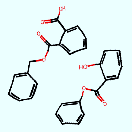 O=C(O)c1ccccc1C(=O)OCc1ccccc1.O=C(Oc1ccccc1)c1ccccc1O